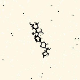 Cc1cc(-c2[nH]c3ccc(C4CCN(C(=O)[C@@H]5CCN5)CC4)cc3c2C(C)C)cc(C)n1